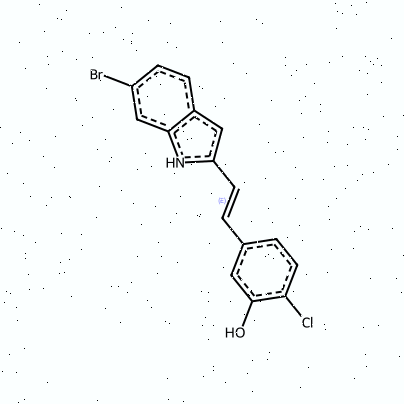 Oc1cc(/C=C/c2cc3ccc(Br)cc3[nH]2)ccc1Cl